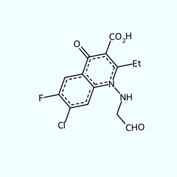 CCc1c(C(=O)O)c(=O)c2cc(F)c(Cl)cc2n1NCC=O